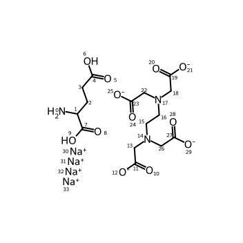 NC(CCC(=O)O)C(=O)O.O=C([O-])CN(CCN(CC(=O)[O-])CC(=O)[O-])CC(=O)[O-].[Na+].[Na+].[Na+].[Na+]